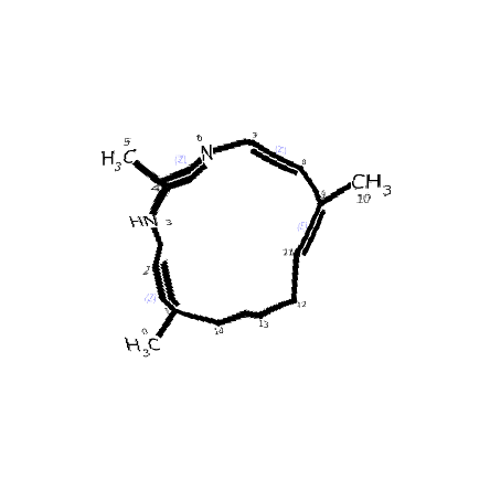 C/C1=C/N\C(C)=N/C=C\C(C)=C\CCC1